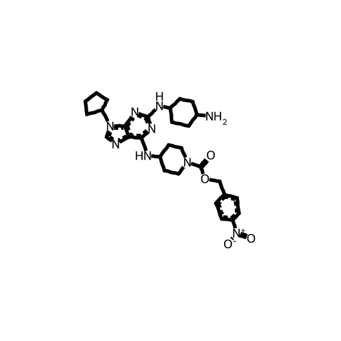 NC1CCC(Nc2nc(NC3CCN(C(=O)OCc4ccc([N+](=O)[O-])cc4)CC3)c3ncn(C4CCCC4)c3n2)CC1